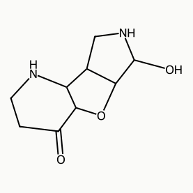 O=C1CCNC2C1OC1C(O)NCC21